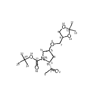 CC(=O)[C@H]1CC(OCC2COC(C)(C)O2)CN1C(=O)OC(C)(C)C